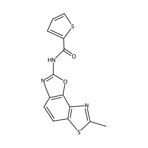 Cc1nc2c(ccc3nc(NC(=O)c4cccs4)oc32)s1